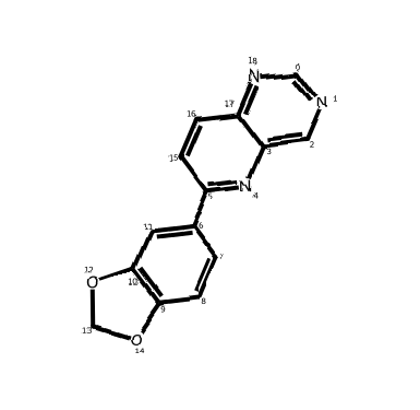 c1ncc2nc(-c3ccc4c(c3)OCO4)ccc2n1